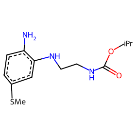 CSc1ccc(N)c(NCCNC(=O)OC(C)C)c1